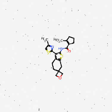 Cc1csc(-c2c(NC(=O)C3=C(C(=O)O)CCC3)sc3c2CCC2(COC2)C3)n1